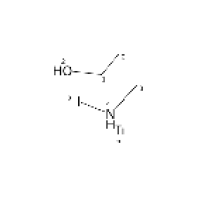 CCO.CNI.[Ti]